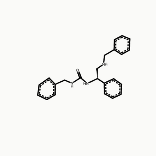 O=C(NCc1ccccc1)N[C@@H](CNCc1ccccc1)c1ccccc1